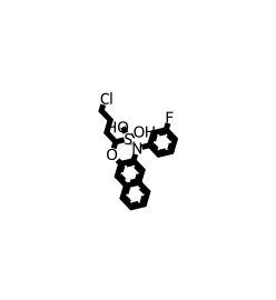 OS1(O)C(CCCCl)Oc2cc3ccccc3cc2N1c1cccc(F)c1